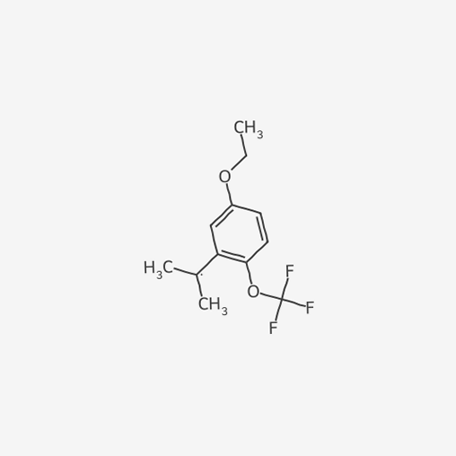 CCOc1ccc(OC(F)(F)F)c([C](C)C)c1